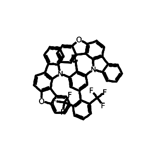 N#Cc1c(-n2c3ccccc3c3ccc4oc5ccccc5c4c32)cc(-c2c(C(F)(F)F)cccc2C(F)(F)F)cc1-n1c2ccccc2c2ccc3oc4ccccc4c3c21